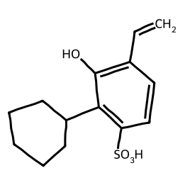 C=Cc1ccc(S(=O)(=O)O)c(C2CCCCC2)c1O